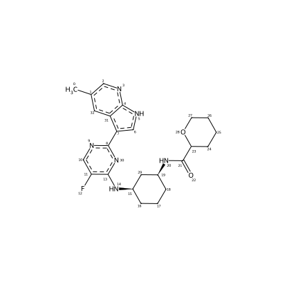 Cc1cnc2[nH]cc(-c3ncc(F)c(N[C@@H]4CCC[C@H](NC(=O)C5CCCCO5)C4)n3)c2c1